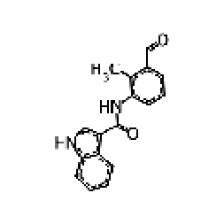 Cc1c(C=O)cccc1NC(=O)c1c[nH]c2ccccc12